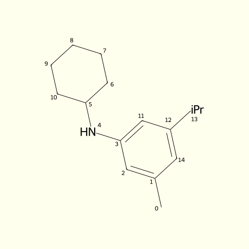 Cc1cc(NC2CCCCC2)cc(C(C)C)c1